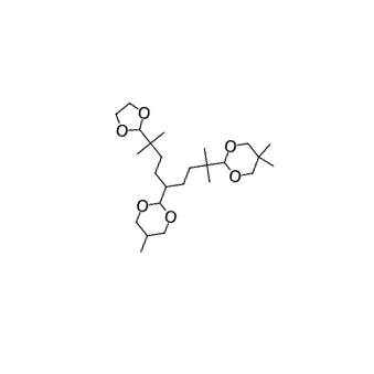 CC1COC(C(CCC(C)(C)C2OCCO2)CCC(C)(C)C2OCC(C)(C)CO2)OC1